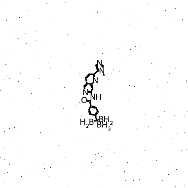 BC(B)(B)c1ccc(C(=O)Nc2cc3nc(-c4cncn4C)ccc3cn2)cc1